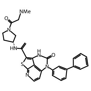 C=C(N[C@@H]1CCN(C(=O)CNC)C1)c1sc2nccc3c2c1NC(=O)N3c1cccc(-c2ccccc2)c1